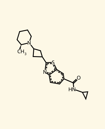 C[C@H]1CCCCN1C1CC(c2nc3ccc(C(=O)NC4CC4)cc3s2)C1